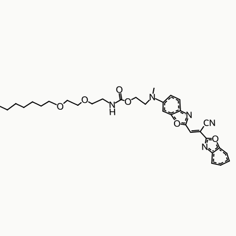 CN(CCOC(=O)NCCOCCOCCCCCCCl)c1ccc2nc(/C=C(\C#N)c3nc4ccccc4o3)oc2c1